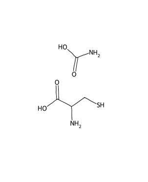 NC(=O)O.NC(CS)C(=O)O